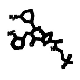 CS(=O)(=O)CCNC(=O)c1cc2nc(N3CCCC(N)C3)n(Cc3ccccc3C#N)c(=O)c2s1